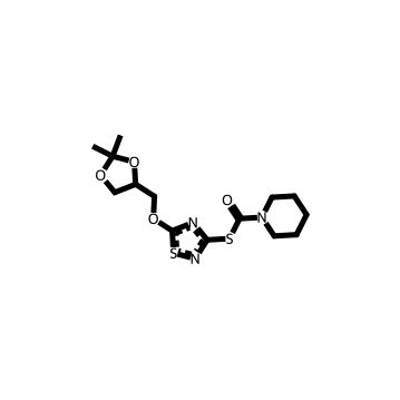 CC1(C)OCC(COc2nc(SC(=O)N3CCCCC3)ns2)O1